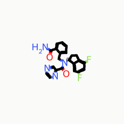 NC(=O)c1ccccc1CN(C(=O)c1cnccn1)[C@@H]1CCc2c(F)cc(F)cc21